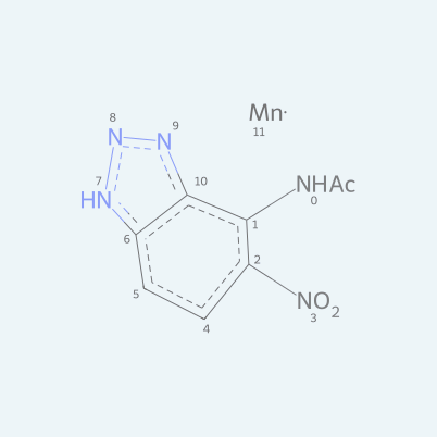 CC(=O)Nc1c([N+](=O)[O-])ccc2[nH]nnc12.[Mn]